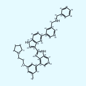 Fc1cc(OCCN2CCCC2)cc(-c2cncc3[nH]c(-c4n[nH]c5ccc(-c6cncc(CNCc7ccccc7)c6)nc45)nc23)c1